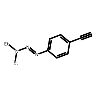 C#Cc1ccc(N=NN(CC)CC)cc1